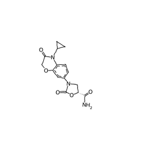 NC(=O)[C@H]1CN(c2ccc3c(c2)OCC(=O)N3C2CC2)C(=O)O1